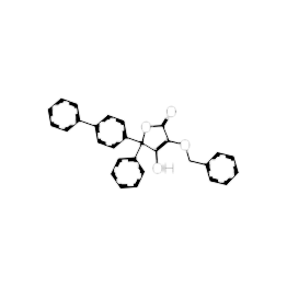 O=C1OC(c2ccccc2)(c2ccc(-c3ccccc3)cc2)C(O)=C1OCc1ccccc1